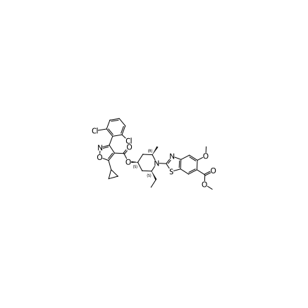 CC[C@H]1C[C@@H](OC(=O)c2c(-c3c(Cl)cccc3Cl)noc2C2CC2)C[C@@H](C)N1c1nc2cc(OC)c(C(=O)OC)cc2s1